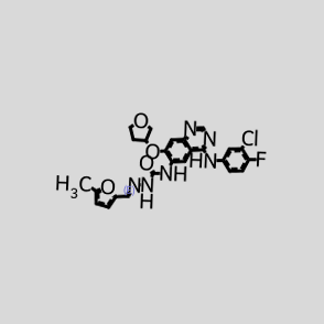 Cc1ccc(/C=N/NC(=O)Nc2cc3c(Nc4ccc(F)c(Cl)c4)ncnc3cc2OC2CCOC2)o1